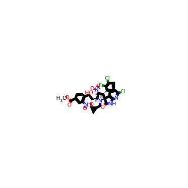 COC(=O)c1ccc(C(O)C[C@H]2[C@@H]([N+](=O)[O-])[C@H](c3cccc(Cl)c3F)[C@]3(C(=O)Nc4nc(Cl)ccc43)N2CC2CC2)c([N+](=O)[O-])c1